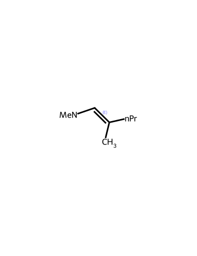 CCC/C(C)=C/NC